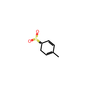 CC1=CCC(=S(=O)=O)C=C1